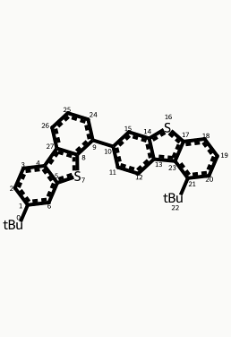 CC(C)(C)c1ccc2c(c1)sc1c(-c3ccc4c(c3)sc3cccc(C(C)(C)C)c34)cccc12